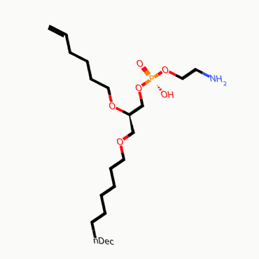 C=CCCCCO[C@H](COCCCCCCCCCCCCCCCC)CO[P@](=O)(O)OCCN